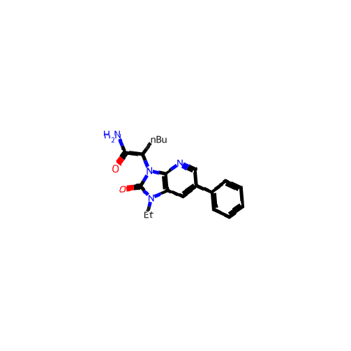 CCCCC(C(N)=O)n1c(=O)n(CC)c2cc(-c3ccccc3)cnc21